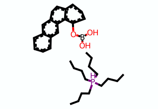 CCCC[PH](CCCC)(CCCC)CCCC.OB(O)Oc1cccc2ccc3cc4ccccc4cc3c12